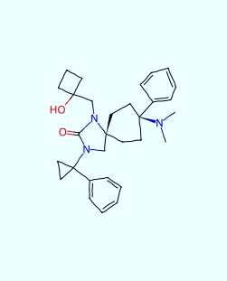 CN(C)[C@]1(c2ccccc2)CC[C@@]2(CC1)CN(C1(c3ccccc3)CC1)C(=O)N2CC1(O)CCC1